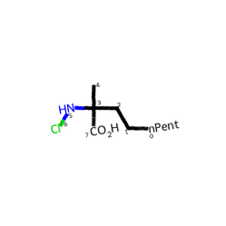 CCCCCCCC(C)(NCl)C(=O)O